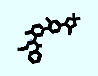 Cc1cc(N2CC(C)(C)CC2=O)ccc1-n1ccc(=O)c(/C(=C/C=N)Nc2ccccc2)n1